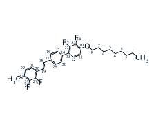 CCCCCCCCCOc1ccc(-c2ccc(/C=C/c3ccc(C)c(F)c3F)cc2)c(F)c1F